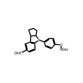 CCCCCCCCCCOc1ccc(N2c3ccc(C=O)cc3C3CCCC32)cc1